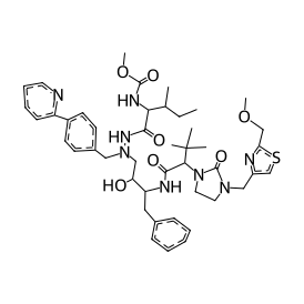 CCC(C)C(NC(=O)OC)C(=O)NN(Cc1ccc(-c2ccccn2)cc1)CC(O)C(Cc1ccccc1)NC(=O)C(N1CCN(Cc2csc(COC)n2)C1=O)C(C)(C)C